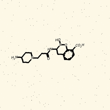 NC1CCN(CCC(=O)NC2Cc3cccc(C(=O)O)c3OB2O)CC1